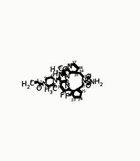 C=CC(=O)N1CCN(c2nc(=O)n3c4nc(c(F)cc24)-c2c(F)cccc2CN(S(N)(=O)=O)CCc2ccnc(C(C)C)c2-3)[C@@H](C)C1